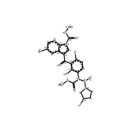 CC(C)(C)OC(=O)N(c1ccc(F)c(C(=O)c2cn(C(=O)OC(C)(C)C)c3ncc(Br)cc23)c1F)[S+]([O-])N1CCC(F)C1